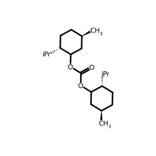 CC(C)[C@@H]1CC[C@@H](C)CC1OC(=O)OC1C[C@H](C)CC[C@H]1C(C)C